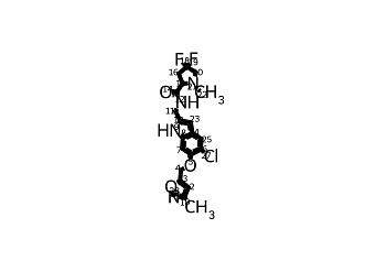 Cc1cc(COc2cc3[nH]c(CNC(=O)C4CC(F)(F)CN4C)cc3cc2Cl)on1